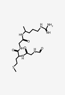 CSCCC(NC(=O)CNC=O)C(=O)NCC(=O)NC(C)CCCNC(=N)N